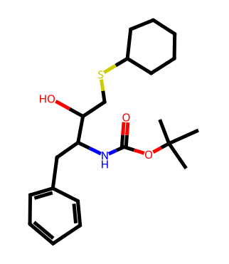 CC(C)(C)OC(=O)NC(Cc1ccccc1)C(O)CSC1CCCCC1